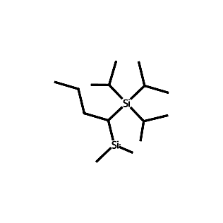 CCCC([Si](C)C)[Si](C(C)C)(C(C)C)C(C)C